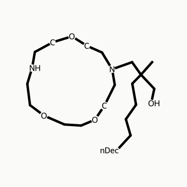 CCCCCCCCCCCCCCC(C)(CO)CN1CCOCCNCCOCCOCC1